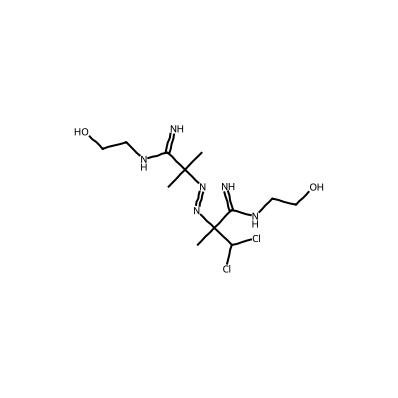 CC(C)(N=NC(C)(C(=N)NCCO)C(Cl)Cl)C(=N)NCCO